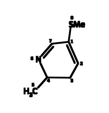 CSC1=CCC(C)N=C1